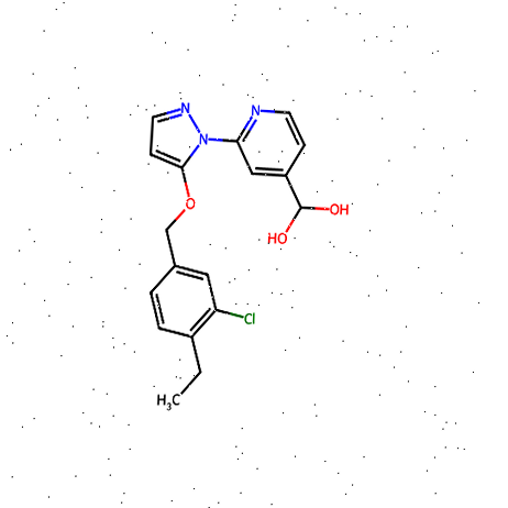 CCc1ccc(COc2ccnn2-c2cc(C(O)O)ccn2)cc1Cl